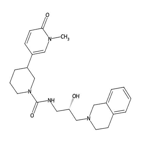 Cn1cc(C2CCCN(C(=O)NC[C@H](O)CN3CCc4ccccc4C3)C2)ccc1=O